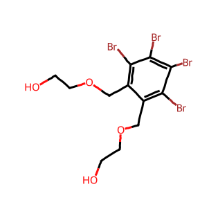 OCCOCc1c(Br)c(Br)c(Br)c(Br)c1COCCO